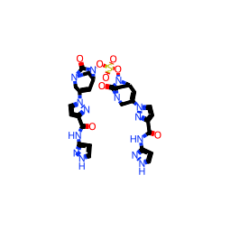 O=C(Nc1cc[nH]n1)c1ccn(C2=CC3CN(C2)C(=O)N3OS(=O)(=O)ON2C(=O)N3CC(n4ccc(C(=O)Nc5cc[nH]n5)n4)=CC2C3)n1